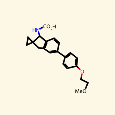 COCCOc1ccc(-c2ccc3c(c2)CC2(CC2)C3NC(=O)O)cc1